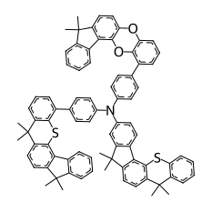 CC1(C)c2ccccc2Sc2c1ccc1c2-c2ccc(N(c3ccc(-c4cccc5c4Oc4c(ccc6c4-c4ccccc4C6(C)C)O5)cc3)c3ccc(-c4cccc5c4Sc4c(ccc6c4-c4ccccc4C6(C)C)C5(C)C)cc3)cc2C1(C)C